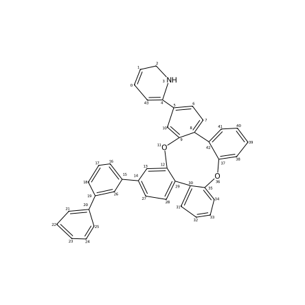 C1=CCNC(c2ccc3c(c2)Oc2cc(-c4cccc(-c5ccccc5)c4)ccc2-c2ccccc2Oc2ccccc2-3)=C1